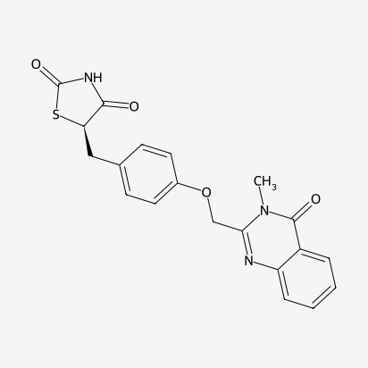 Cn1c(COc2ccc(C[C@H]3SC(=O)NC3=O)cc2)nc2ccccc2c1=O